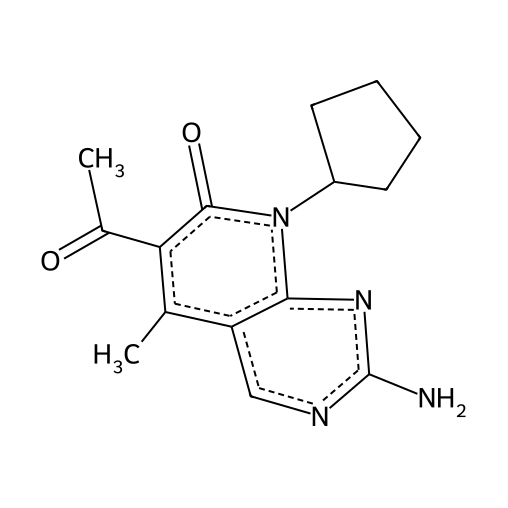 CC(=O)c1c(C)c2cnc(N)nc2n(C2CCCC2)c1=O